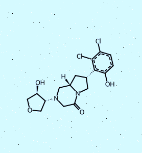 O=C1CN([C@@H]2COC[C@H]2O)C[C@@H]2C[C@H](c3c(O)ccc(Cl)c3Cl)CN12